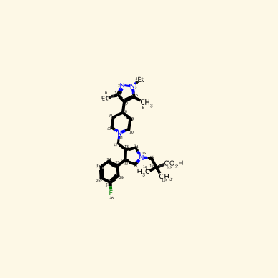 CCc1nn(CC)c(C)c1C1CCN(CC2CN(CC(C)(C)C(=O)O)CC2c2cccc(F)c2)CC1